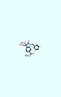 COC(=O)c1ccc2c(c1)N(Cc1cc(F)cc(F)c1)C(=O)C2(C)CO